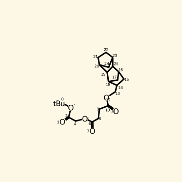 CC(C)(C)OC(=O)COC(=O)CCC(=O)OCC1CC2CC1C1C3CCC(C3)C21